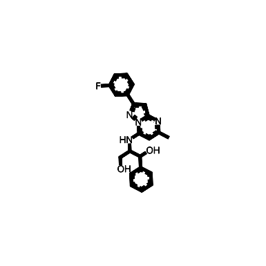 Cc1cc(NC(CO)C(O)c2ccccc2)n2nc(-c3cccc(F)c3)cc2n1